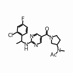 CC(=O)N(C)C1CCN(C(=O)c2cnc(NC(C)c3ccc(F)cc3Cl)nc2)C1